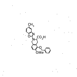 COc1ccc2c(c1OCc1ccccc1)CC(C(=O)O)N(c1nc3cc(C)ccc3o1)C2